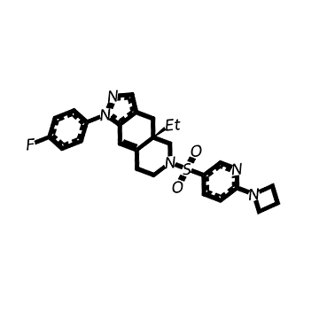 CC[C@]12Cc3cnn(-c4ccc(F)cc4)c3C=C1CCN(S(=O)(=O)c1ccc(N3CCC3)nc1)C2